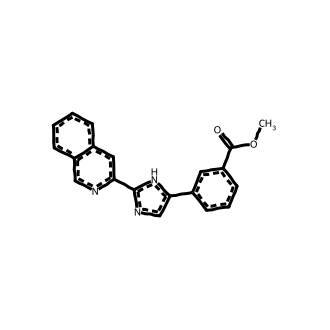 COC(=O)c1cccc(-c2cnc(-c3cc4ccccc4cn3)[nH]2)c1